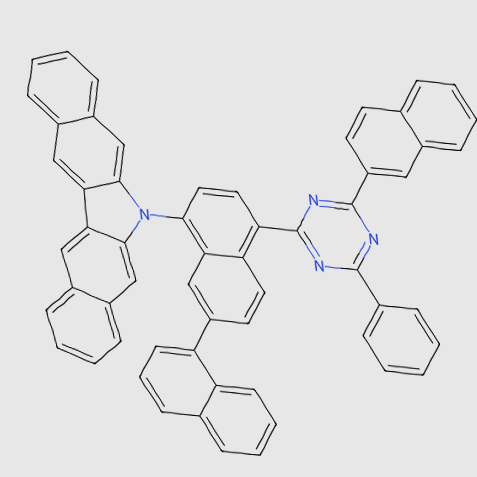 c1ccc(-c2nc(-c3ccc4ccccc4c3)nc(-c3ccc(-n4c5cc6ccccc6cc5c5cc6ccccc6cc54)c4cc(-c5cccc6ccccc56)ccc34)n2)cc1